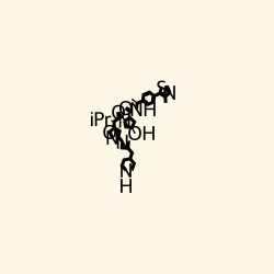 Cc1ncsc1-c1ccc([C@H](C)NC(=O)[C@@H]2C[C@@H](O)CN2C(=O)[C@H](c2cc(N3CC(CC4CCNCC4)C3)no2)C(C)C)cc1